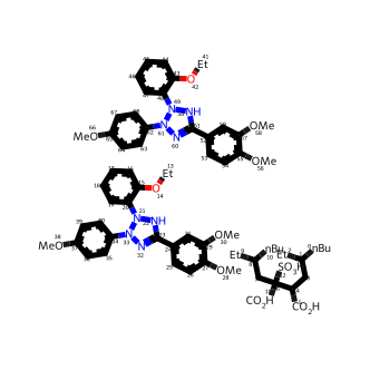 CCCCC(CC)CC(C(=O)O)C(CC(CC)CCCC)(C(=O)O)S(=O)(=O)O.CCOc1ccccc1N1NC(c2ccc(OC)c(OC)c2)=NN1c1ccc(OC)cc1.CCOc1ccccc1N1NC(c2ccc(OC)c(OC)c2)=NN1c1ccc(OC)cc1